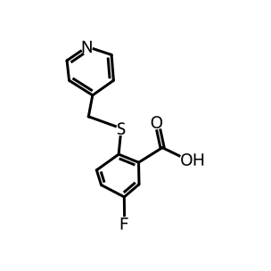 O=C(O)c1cc(F)ccc1SCc1ccncc1